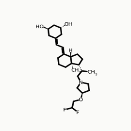 CC(CN1CC[C@@H](OCC(F)F)C1)[C@H]1CC[C@H]2/C(=C/C=C3C[C@@H](O)C[C@H](O)C3)CCC[C@]12C